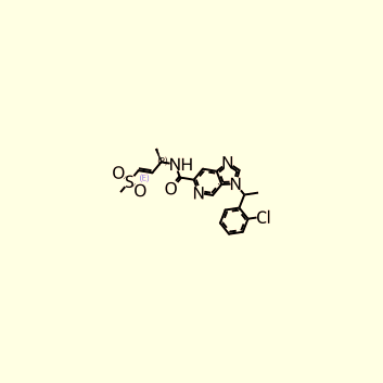 CC(c1ccccc1Cl)n1cnc2cc(C(=O)N[C@H](C)/C=C/S(C)(=O)=O)ncc21